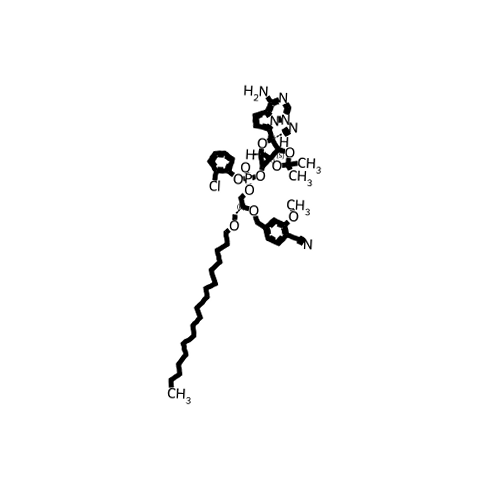 CCCCCCCCCCCCCCCCCCOC[C@H](COP(=O)(Oc1ccccc1Cl)OC1[C@H]2O[C@@](C#N)(c3ccc4c(N)ncnn34)[C@@H]3OC(C)(C)O[C@]123)OCc1ccc(C#N)c(OC)c1